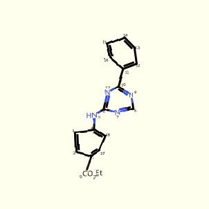 CCOC(=O)c1ccc(Nc2ncnc(-c3ccccc3)n2)cc1